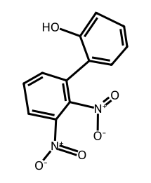 O=[N+]([O-])c1cccc(-c2ccccc2O)c1[N+](=O)[O-]